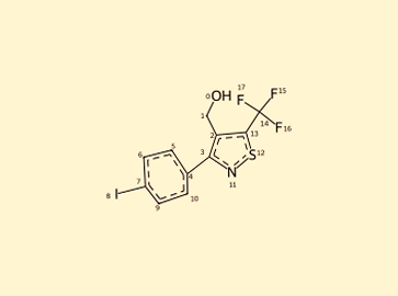 OCc1c(-c2ccc(I)cc2)nsc1C(F)(F)F